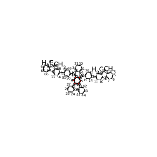 CC1(C)c2ccccc2-c2ccc(-c3ccc(N(c4ccc(-c5ccccc5)cc4)c4ccccc4N(c4ccc(-c5ccccc5)cc4)c4ccc(-c5ccc6c(c5)C(C)(C)c5ccccc5-6)cc4)cc3)cc21